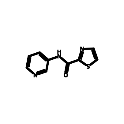 O=C(Nc1cccnc1)c1nccs1